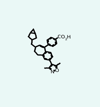 Cc1noc(C)c1-c1ccc2c(c1)CCC(CC1CC3CC3C1)C=C2c1ccc(C(=O)O)cc1